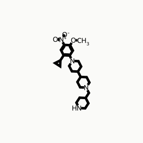 COc1cc(N2CCC(C3CCN(CC4CCNCC4)CC3)CC2)c(C2CC2)cc1[N+](=O)[O-]